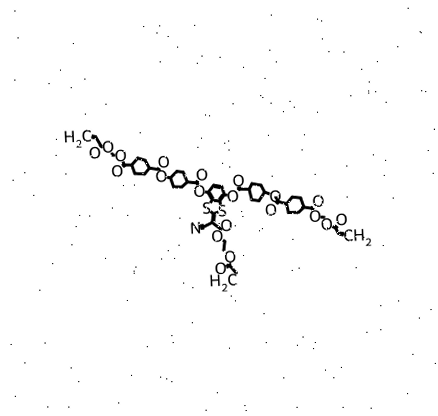 C=CC(=O)OCCOC(=O)C(C#N)=C1Sc2c(OC(=O)C3CCC(OC(=O)C4CCC(C(=O)OCOC(=O)C=C)CC4)CC3)ccc(OC(=O)C3CCC(OC(=O)C4CCC(C(=O)OCOC(=O)C=C)CC4)CC3)c2S1